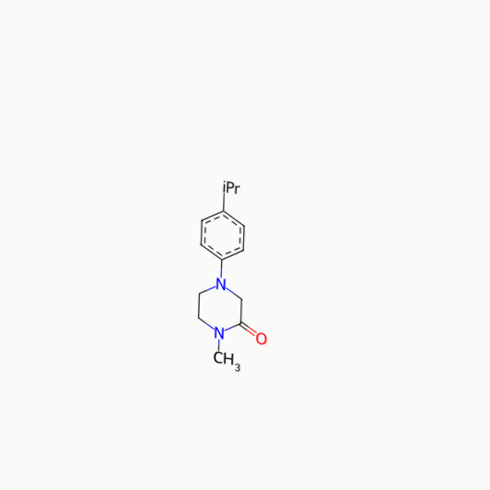 CC(C)c1ccc(N2CCN(C)C(=O)C2)cc1